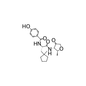 C[C@@H]1OCC(=O)[C@H]1NC(=O)[C@H](CC1(C)CCCC1)NC(=O)c1ccc(O)cc1